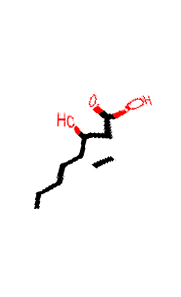 CC.CCCCCC(O)CC(=O)O